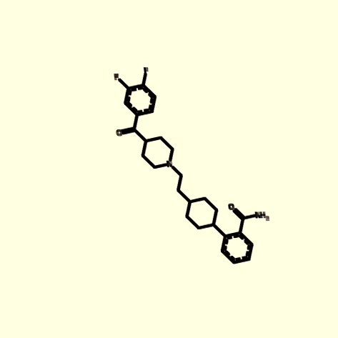 NC(=O)c1ccccc1C1CCC(CCN2CCC(C(=O)c3ccc(F)c(F)c3)CC2)CC1